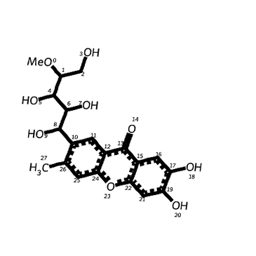 COC(CO)C(O)C(O)C(O)c1cc2c(=O)c3cc(O)c(O)cc3oc2cc1C